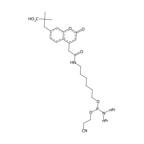 CCCN(CCC)P(OCCC#N)OCCCCCCNC(=O)Cc1cc(=O)oc2cc(CC(C)(C)C(=O)O)ccc12